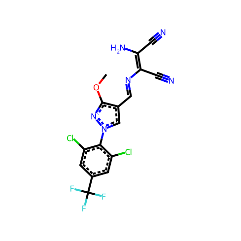 COc1nn(-c2c(Cl)cc(C(F)(F)F)cc2Cl)cc1/C=N/C(C#N)=C(\N)C#N